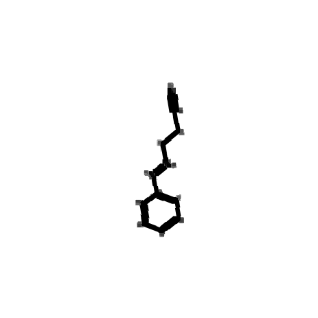 N#CCC/N=N/c1ccccc1